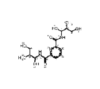 CC(CO)C(O)NC(=O)c1cccc(C(=O)NC(O)C(C)CO)n1